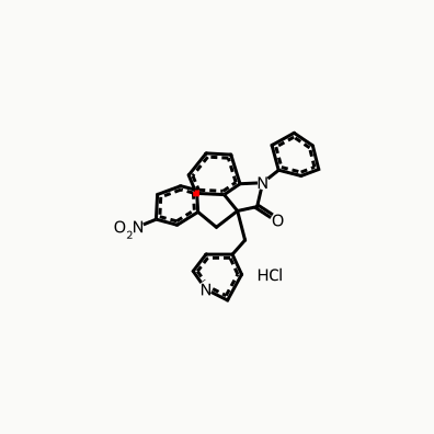 Cl.O=C1N(c2ccccc2)c2ccccc2C1(Cc1ccncc1)Cc1cccc([N+](=O)[O-])c1